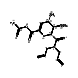 C=CCN(CC=C)C(=O)[C@@H]1OC(C(=O)OC(=O)C(F)(F)F)=C[C@H](N)[C@H]1NC(C)=O